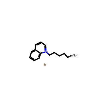 CCCCCCCCCCCCCC[n+]1cccc2ccccc21.[Br-]